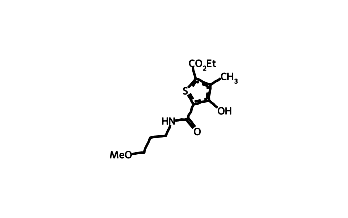 CCOC(=O)c1sc(C(=O)NCCCOC)c(O)c1C